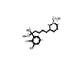 COC(O)(CCCCC1CCCN(C(=O)O)C1)c1cccc(Cl)c1F